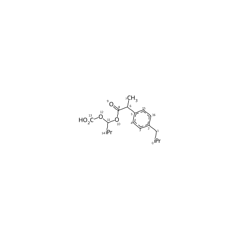 CC(C)Cc1ccc(C(C)C(=O)OC(OC(=O)O)C(C)C)cc1